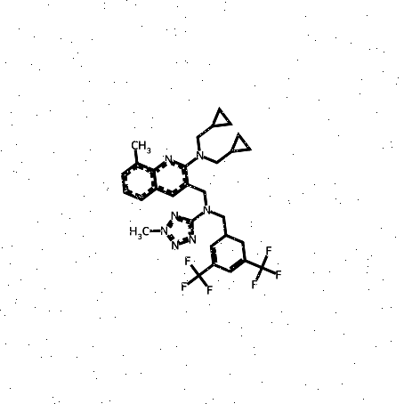 Cc1cccc2cc(CN(CC3C=C(C(F)(F)F)C=C(C(F)(F)F)C3)c3nnn(C)n3)c(N(CC3CC3)CC3CC3)nc12